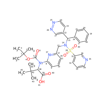 CC(C)(C)OC(=O)N(c1cccc(CN(C(c2ccccc2)c2ccnnc2)S(=O)(=O)c2cccnc2)n1)C(C(=O)O)C(C)(C)C